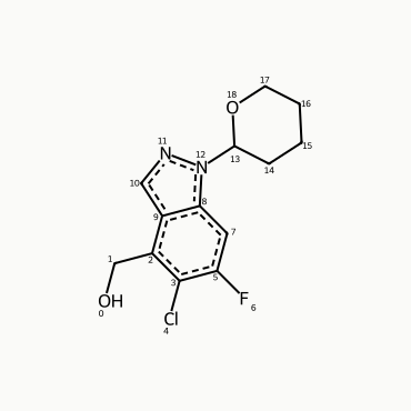 OCc1c(Cl)c(F)cc2c1cnn2C1CCCCO1